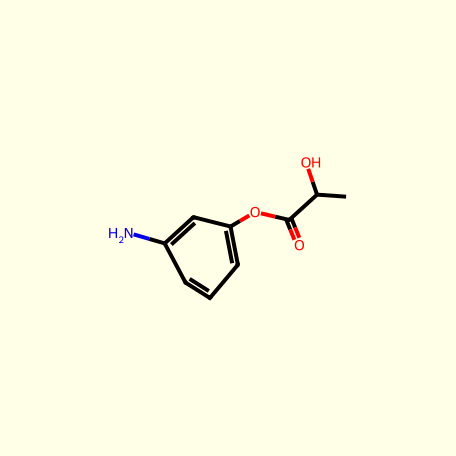 CC(O)C(=O)Oc1cccc(N)c1